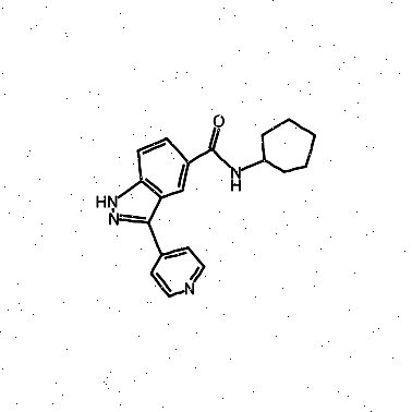 O=C(NC1CCCCC1)c1ccc2[nH]nc(-c3ccncc3)c2c1